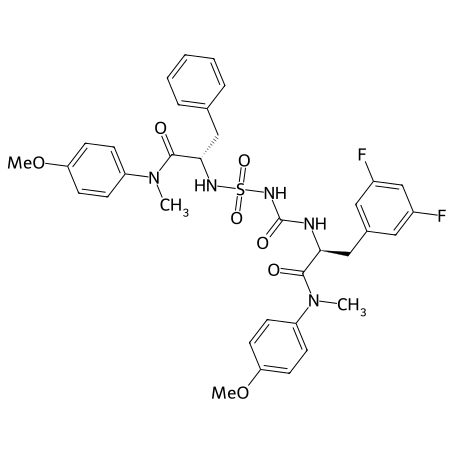 COc1ccc(N(C)C(=O)[C@H](Cc2cc(F)cc(F)c2)NC(=O)NS(=O)(=O)N[C@@H](Cc2ccccc2)C(=O)N(C)c2ccc(OC)cc2)cc1